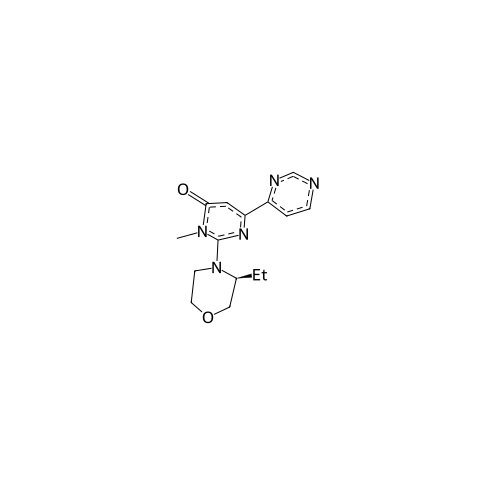 CC[C@H]1COCCN1c1nc(-c2ccncn2)cc(=O)n1C